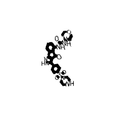 O=C(Nc1cccc2c1C(=O)c1c-2n[nH]c1-c1ccc(S(=O)(=O)N2CCNCC2)cc1)NN1CCOCC1